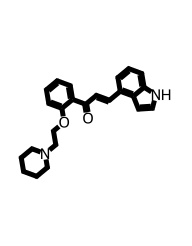 O=C(C=Cc1cccc2[nH]ccc12)c1ccccc1OCCN1CCCCC1